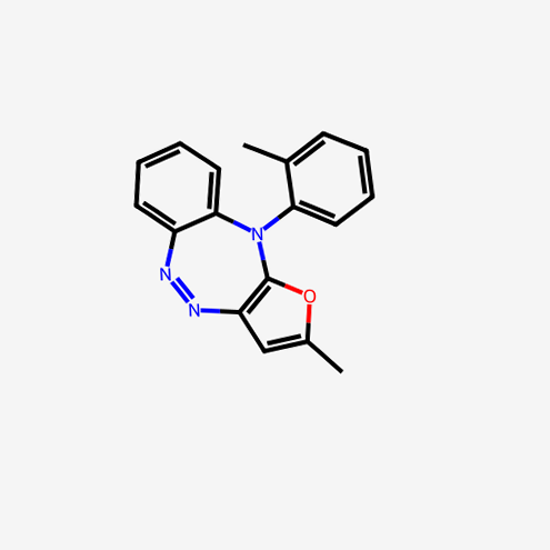 Cc1cc2c(o1)N(c1ccccc1C)c1ccccc1N=N2